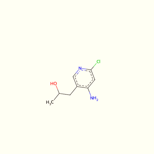 CC(O)Cc1cnc(Cl)cc1N